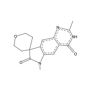 Cc1nc2cc3c(cc2c(=O)[nH]1)N(C)C(=O)C31CCOCC1